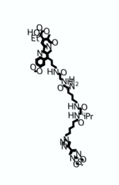 CC[C@@]1(O)C(=O)OCc2c1cc1n(c2=O)Cc2c-1nc1cc3c(cc1c2CCCNC(=O)CNC(=O)[C@@H](N)CCCCNC(=O)[C@@H](NC(=O)CCCCCn1cc(-c2cnc(S(C)(=O)=O)nc2)nn1)C(C)C)OCO3